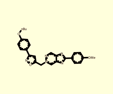 CCCCOc1ccc(-c2cc(Cn3cc4nc(-c5ccc(OC)cc5)nc-4cn3)on2)cc1